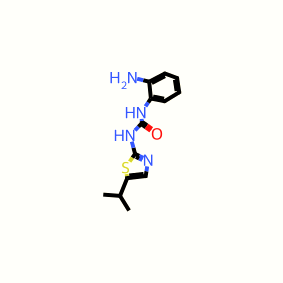 CC(C)c1cnc(NC(=O)Nc2ccccc2N)s1